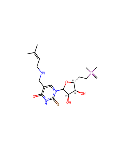 C=P(C)(C)CC[C@H]1OC(n2cc(CNCC=C(C)C)c(=O)[nH]c2=S)[C@H](O)[C@@H]1O